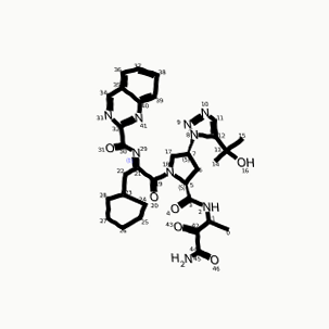 CC(NC(=O)[C@@H]1C[C@H](n2nncc2C(C)(C)O)CN1C(=O)/C(CC1CCCCC1)=N/C(=O)c1ncc2ccccc2n1)C(=O)C(N)=O